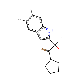 CC(O)(C(=S)C1CCCC1)c1cc2cc([N+](=O)[O-])c(C(F)(F)F)cc2[nH]1